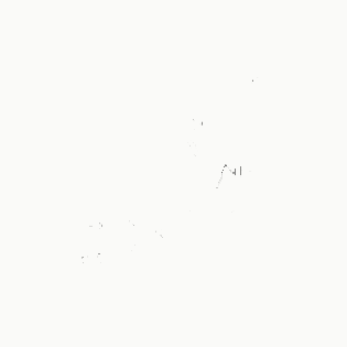 CCC(CO)NCCCC(C)Nc1ccnc2cc(Cl)ccc12